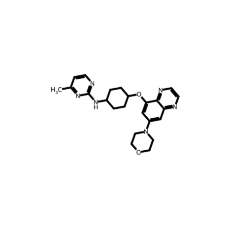 Cc1ccnc(NC2CCC(Oc3cc(N4CCOCC4)cc4nccnc34)CC2)n1